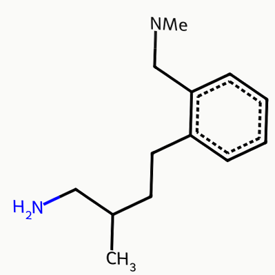 CNCc1ccccc1CCC(C)CN